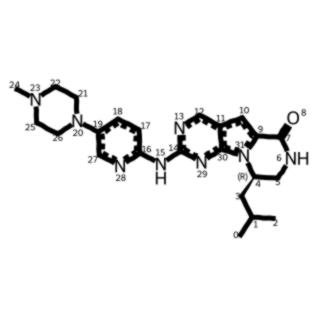 CC(C)C[C@@H]1CNC(=O)c2cc3cnc(Nc4ccc(N5CCN(C)CC5)cn4)nc3n21